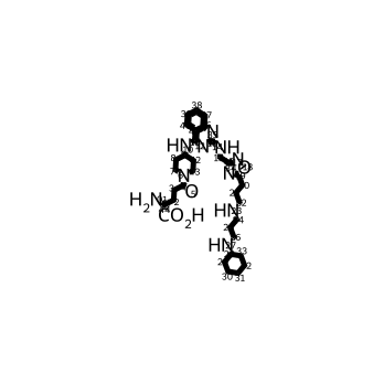 N[C@@H](CCC(=O)N1CCC(Nc2nc(NCc3noc(CCCNCCCNC4CCCCC4)n3)nc3ccccc23)CC1)C(=O)O